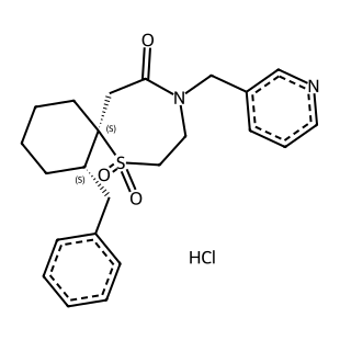 Cl.O=C1C[C@]2(CCCC[C@H]2Cc2ccccc2)S(=O)(=O)CCN1Cc1cccnc1